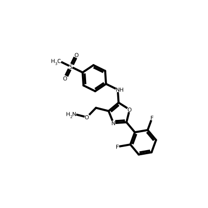 CS(=O)(=O)c1ccc(Nc2oc(-c3c(F)cccc3F)nc2CON)cc1